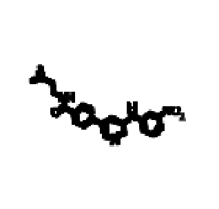 CN(C)CCNC(=O)c1ccc(-c2cncc(Nc3cccc([N+](=O)[O-])c3)c2)cc1